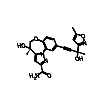 Cc1cc([C@](C)(O)C#Cc2ccc3c(c2)-n2nc(C(N)=O)cc2[C@@](C)(O)CO3)no1